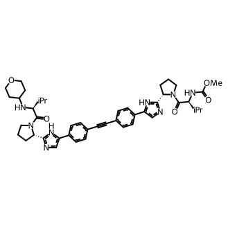 COC(=O)N[C@H](C(=O)N1CCC[C@H]1c1ncc(-c2ccc(C#Cc3ccc(-c4cnc([C@@H]5CCCN5C(=O)[C@@H](NC5CCOCC5)C(C)C)[nH]4)cc3)cc2)[nH]1)C(C)C